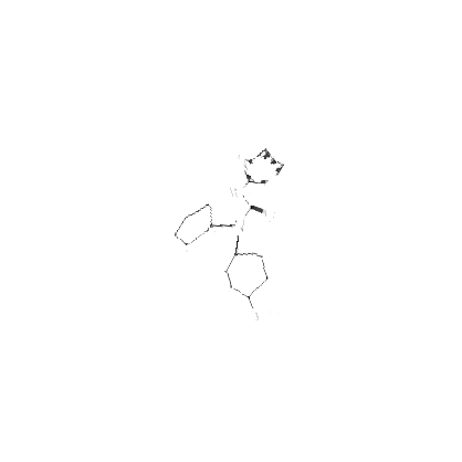 CC(C)C1CCC(N(C(=O)Nc2nccs2)C2CCCC2)CC1